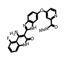 CNC(=O)c1cc(Oc2ccc3nc(-c4c(N)c5c(F)cccc5[nH]c4=O)[nH]c3c2)ccn1